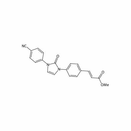 COC(=O)C=Cc1ccc(-n2ccn(-c3ccc(C#N)cc3)c2=O)cc1